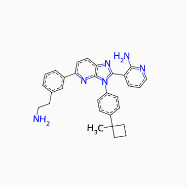 CC1(c2ccc(-n3c(-c4cccnc4N)nc4ccc(-c5cccc(CCN)c5)nc43)cc2)CCC1